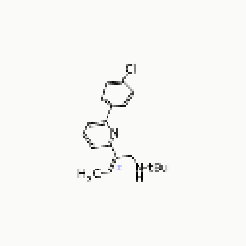 C/C=C(/CNC(C)(C)C)c1cccc(-c2ccc(Cl)cc2)n1